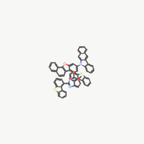 CC1C/C=C(c2cccc3sc4ccccc4c23)/N=C(c2cccc3sc4ccccc4c23)\N=C/1c1cc(-n2c3ccccc3c3cc4ccccc4cc32)cc2oc3c4ccccc4ccc3c12